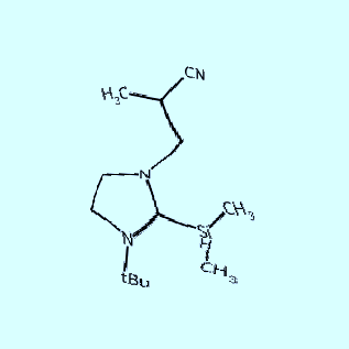 CC(C#N)CN1CCN(C(C)(C)C)C1[SiH](C)C